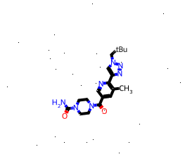 Cc1cc(C(=O)N2CCN(C(N)=O)CC2)cnc1-c1cn(CC(C)(C)C)nn1